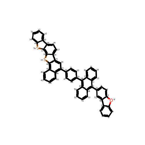 c1ccc2c(c1)oc1ccc(-c3c4ccccc4c(-c4ccc(-c5cc6c7ccc8c9ccccc9sc8c7sc6c6ccccc56)cc4)c4ccccc34)cc12